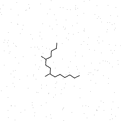 CCCCCCC(C)CCC(C)CCCC